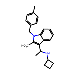 Cc1ccc(Cn2c(C(=O)O)c(C(C)NC3CCC3)c3ccccc32)cc1